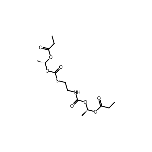 CCC(=O)O[C@@H](C)OC(=O)NCCSC(=O)O[C@H](C)OC(=O)CC